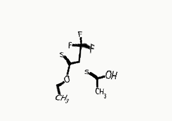 CC(O)=S.CCOC(=S)CC(F)(F)F